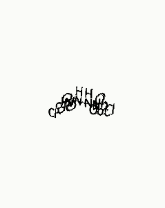 O=C1c2cccc3c(Cl)ccc(c23)C(=O)N1CCNCCCNCCN1C(=O)c2cccc3c(Cl)ccc(c23)C1=O